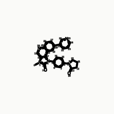 Cn1c(=O)n(-c2ccc(N3CCCC3=O)cc2)c2c3cc(-c4cccnc4)ccc3ncc21